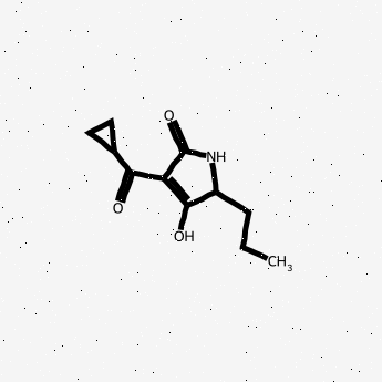 CCCC1NC(=O)C(C(=O)C2CC2)=C1O